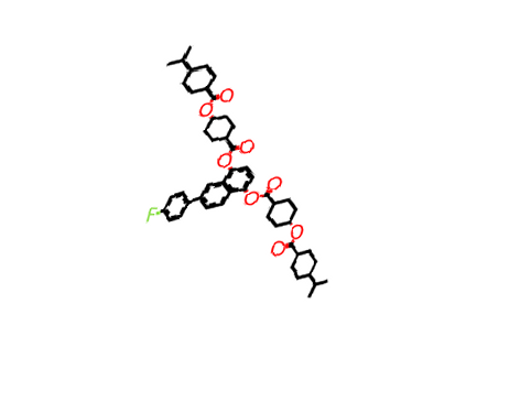 CC(C)C1CCC(C(=O)OC2CCC(C(=O)Oc3ccc(OC(=O)C4CCC(OC(=O)C5CCC(C(C)C)CC5)CC4)c4cc(-c5ccc(F)cc5)ccc34)CC2)CC1